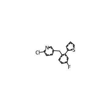 Fc1ccc(Cc2ccc(Cl)nc2)c(-c2cccs2)c1